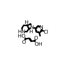 Cc1cc(N2C[C@H]3CCNC[C@H]32)cnc1Cl.O=C(O)/C=C/C(=O)O